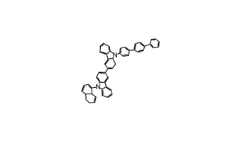 C1=CC2CCC=CC2C(n2c3ccccc3c3cc(C4=CCC5C(=C4)c4ccccc4N5c4ccc(-c5ccc(-c6ccccc6)cc5)cc4)ccc32)=C1